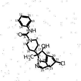 CC1(C2CCN(C(=O)Nc3ccccc3)CC2)[C@@H](O)c2cc(Cl)cc3cnn1c23